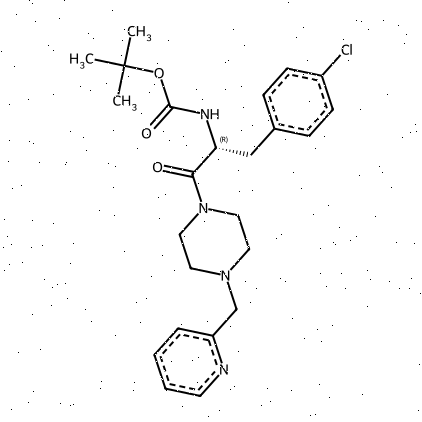 CC(C)(C)OC(=O)N[C@H](Cc1ccc(Cl)cc1)C(=O)N1CCN(Cc2ccccn2)CC1